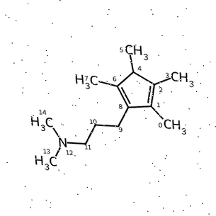 CC1=C(C)C(C)C(C)=C1CCCN(C)C